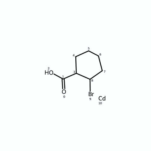 O=C(O)C1CCCCC1Br.[Cd]